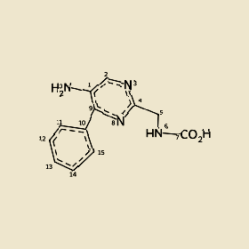 Nc1cnc(CNC(=O)O)nc1-c1ccccc1